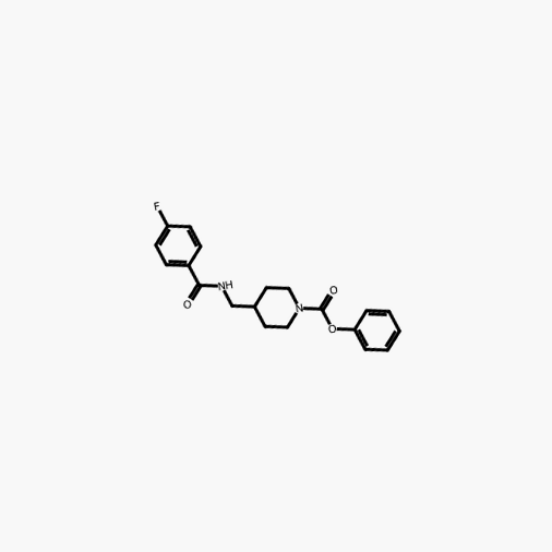 O=C(NCC1CCN(C(=O)Oc2ccccc2)CC1)c1ccc(F)cc1